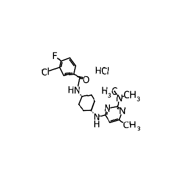 Cc1cc(N[C@H]2CC[C@@H](NC(=O)c3ccc(F)c(Cl)c3)CC2)nc(N(C)C)n1.Cl